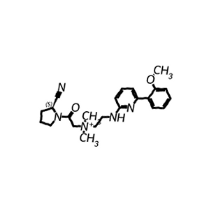 COc1ccccc1-c1cccc(NCC[N+](C)(C)CC(=O)N2CCC[C@H]2C#N)n1